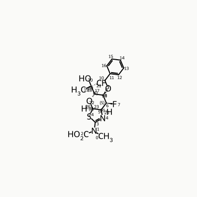 CN(C(=O)O)C1=N[C@@H]2[C@H](F)[C@H](OCc3ccccc3)[C@@H]([C@@](C)(O)C(F)(F)F)O[C@@H]2S1